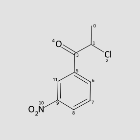 CC(Cl)C(=O)c1cccc([N+](=O)[O-])c1